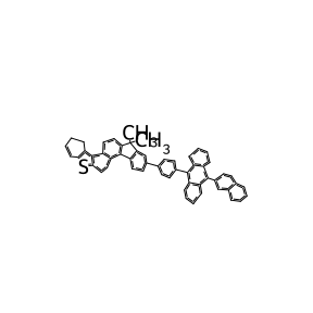 CC1(C)c2cc(-c3ccc(-c4c5ccccc5c(-c5ccc6ccccc6c5)c5ccccc45)cc3)ccc2-c2c1ccc1c2ccc2sc3c(c21)CCC=C3